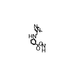 CNOC(=O)c1cccc(NCc2cncn2C)c1